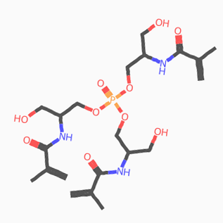 C=C(C)C(=O)NC(CO)COP(=O)(OCC(CO)NC(=O)C(=C)C)OCC(CO)NC(=O)C(=C)C